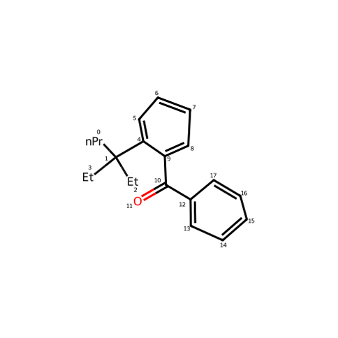 CCCC(CC)(CC)c1ccccc1C(=O)c1ccccc1